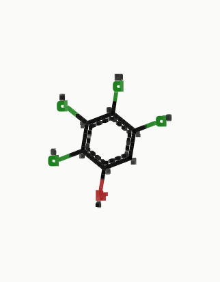 Clc1cc(Br)c(Cl)c(Cl)c1Cl